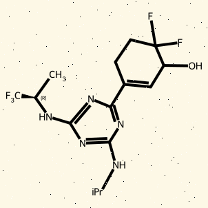 CC(C)Nc1nc(N[C@H](C)C(F)(F)F)nc(C2=CC(O)C(F)(F)CC2)n1